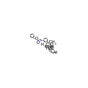 CC(C)(C(=O)N[C@H]1[C@@H]2CC3C[C@H]1C[C@](F)(C3)C2)c1cccc(/C=C/C(=O)OCc2ccccc2)c1